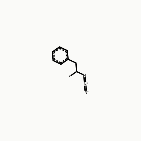 [N-]=[N+]=NC(F)Cc1ccccc1